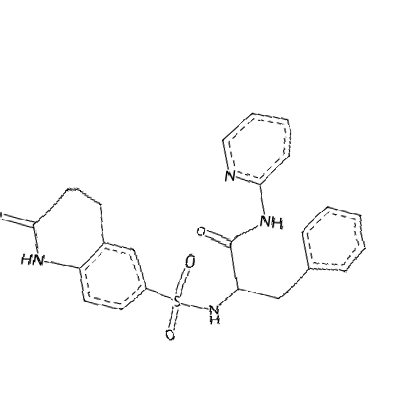 O=C1CCc2cc(S(=O)(=O)NC(Cc3ccccc3)C(=O)Nc3ccccn3)ccc2N1